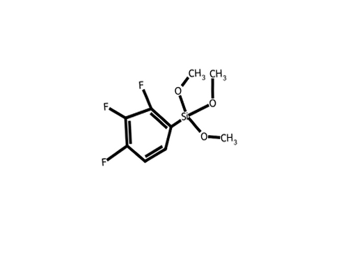 CO[Si](OC)(OC)c1ccc(F)c(F)c1F